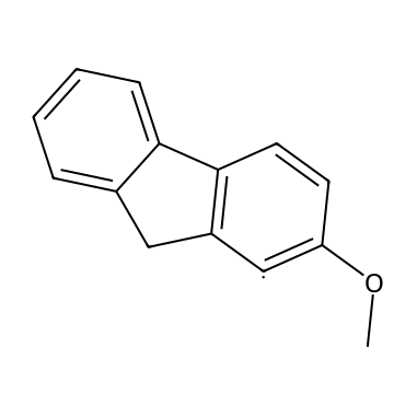 COc1[c]c2c(cc1)-c1ccccc1C2